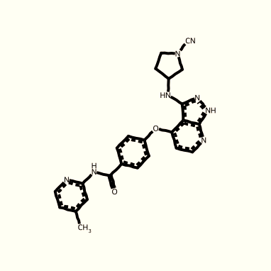 Cc1ccnc(NC(=O)c2ccc(Oc3ccnc4[nH]nc(NC5CCN(C#N)C5)c34)cc2)c1